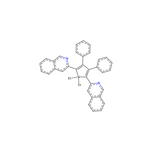 CC[Si]1(CC)C(c2cc3ccccc3cn2)=C(c2ccccc2)C(c2ccccc2)=C1c1cc2ccccc2cn1